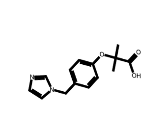 CC(C)(Oc1ccc(Cn2ccnc2)cc1)C(=O)O